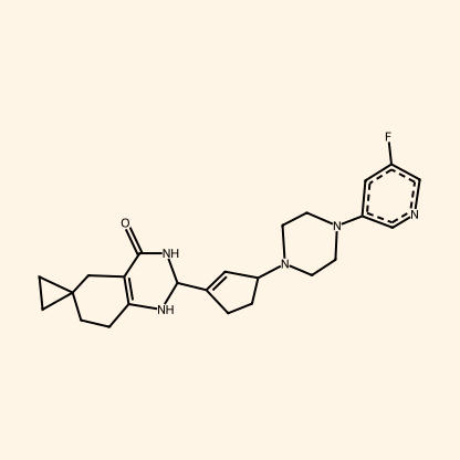 O=C1NC(C2=CC(N3CCN(c4cncc(F)c4)CC3)CC2)NC2=C1CC1(CC2)CC1